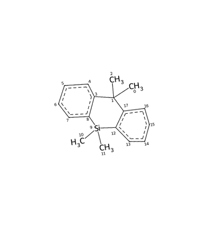 CC1(C)c2ccccc2[Si](C)(C)c2ccccc21